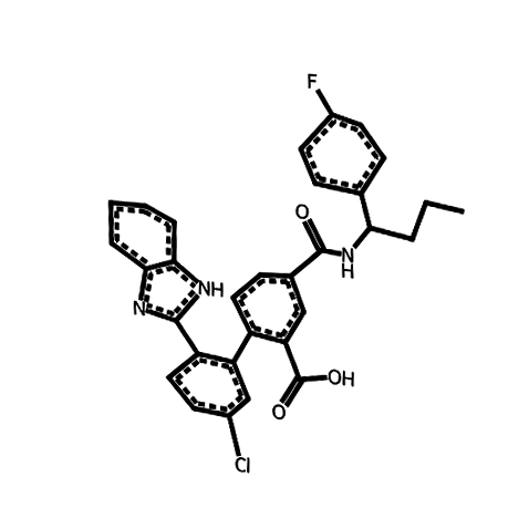 CCCC(NC(=O)c1ccc(-c2cc(Cl)ccc2-c2nc3ccccc3[nH]2)c(C(=O)O)c1)c1ccc(F)cc1